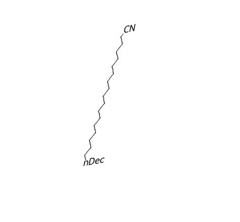 [CH2]CCCCCCCCCCCCCCCCCCCCCCCCCCC#N